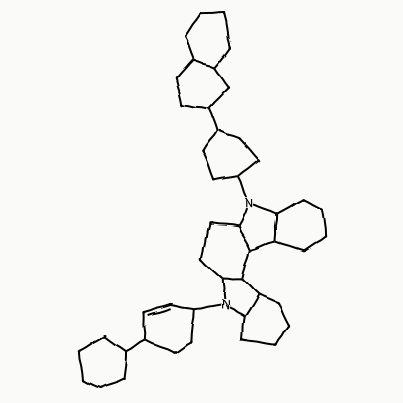 C1=CC(N2C3CCCCC3C3C4C5CCCCC5N(C5CCC(C6CCC7CCCCC7C6)CC5)C4CCC32)CCC1C1CCCCC1